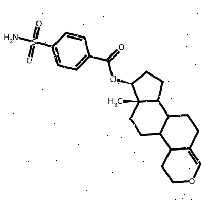 C[C@]12CCC3C4CCOC=C4CCC3C1CC[C@@H]2OC(=O)c1ccc(S(N)(=O)=O)cc1